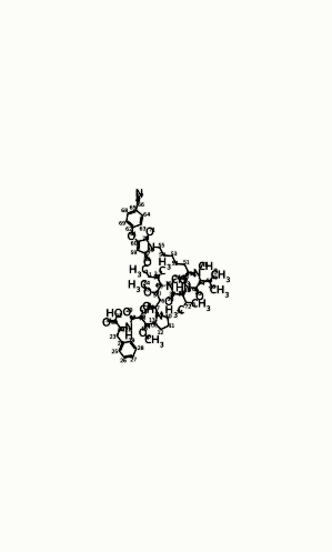 CC[C@@H](C)[C@@H]([C@@H](CC(=O)N1CCC[C@H]1[C@H](OC)[C@@H](C)C(=O)N[C@@H](Cc1ccccc1)C(=O)O)OC)N(C)C(=O)[C@@H](NC(=O)[C@H](C(C)C)N(C)C(=O)CCCCCN1C(=O)C=C(Oc2ccc(C#N)cc2)C1=O)C(C)C